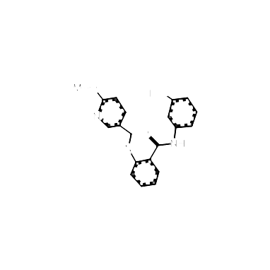 COc1ccc(CNc2ccccc2C(=O)Nc2cccc(C(F)(F)F)c2)cn1